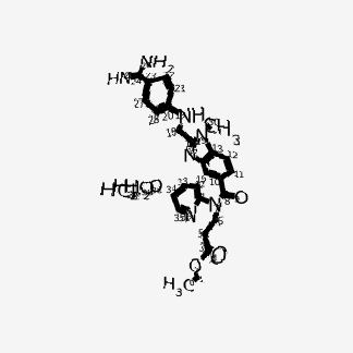 CCOC(=O)CCN(C(=O)c1ccc2c(c1)nc(CNc1ccc(C(=N)N)cc1)n2C)c1ccccn1.Cl.O.O